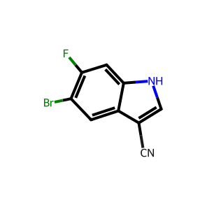 N#Cc1c[nH]c2cc(F)c(Br)cc12